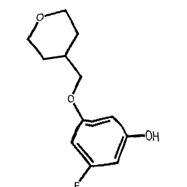 Oc1cc(F)cc(OCC2CCOCC2)c1